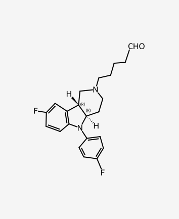 O=CCCCCN1CC[C@@H]2[C@@H](C1)c1cc(F)ccc1N2c1ccc(F)cc1